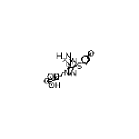 COc1ccc(Sc2nc(N)nc3c2ncn3CCOCP(=O)(O)O)cc1